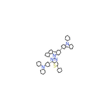 c1ccc(-c2cc3nc(-n4c5ccc(-c6ccc7c(c6)c6ccccc6n7-c6ccccc6)cc5c5ccc6ccccc6c54)nc(-c4ccc(N(c5ccccc5)c5ccccc5)cc4)c3s2)cc1